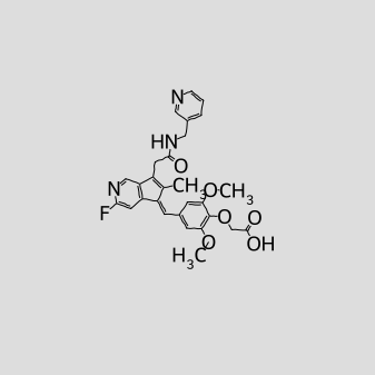 COc1cc(C=C2C(C)=C(CC(=O)NCc3cccnc3)c3cnc(F)cc32)cc(OC)c1OCC(=O)O